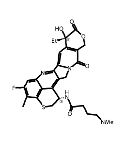 CC[C@@]1(O)C(=O)OCc2c1cc1n(c2=O)Cc2c-1nc1cc(F)c(C)c3c1c2[C@H](NC(=O)CCCNC)CS3